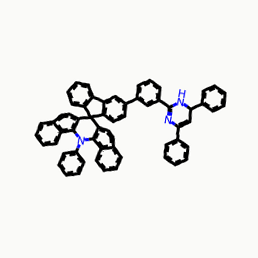 C1=C(c2ccccc2)N=C(c2cccc(-c3ccc4c(c3)-c3ccccc3C43c4ccc5ccccc5c4N(c4ccccc4)c4c3ccc3ccccc43)c2)NC1c1ccccc1